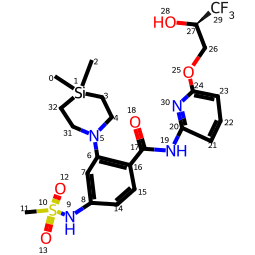 C[Si]1(C)CCN(c2cc(NS(C)(=O)=O)ccc2C(=O)Nc2cccc(OC[C@@H](O)C(F)(F)F)n2)CC1